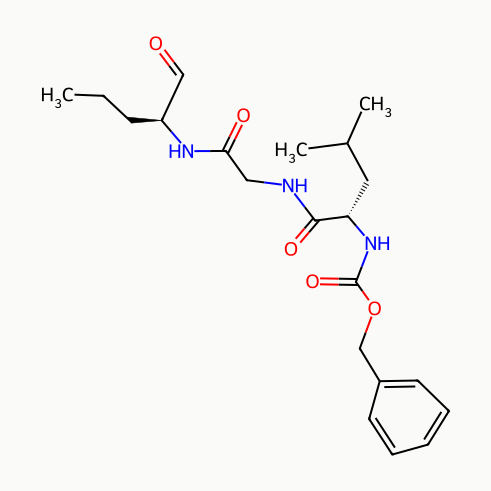 CCC[C@@H](C=O)NC(=O)CNC(=O)[C@H](CC(C)C)NC(=O)OCc1ccccc1